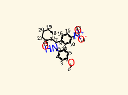 COc1ccc(N[C@H](c2ccc([N+](=O)[O-])cc2)[C@H]2CCCCC2=O)cc1